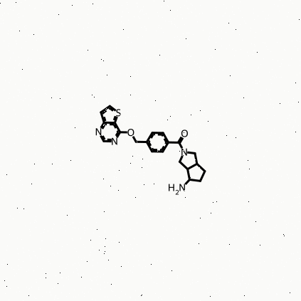 NC1CCC2CN(C(=O)c3ccc(COc4ncnc5ccsc45)cc3)CC12